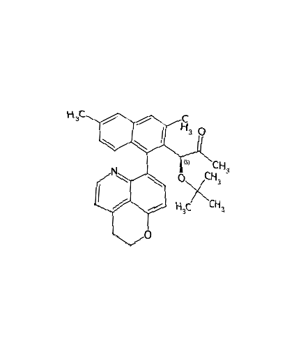 CC(=O)[C@@H](OC(C)(C)C)c1c(C)cc2cc(C)ccc2c1-c1ccc2c3c(ccnc13)CCO2